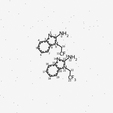 Nc1nc2ccccc2n1CC(F)(F)F.Nc1nc2ccccc2n1CC(F)(F)F